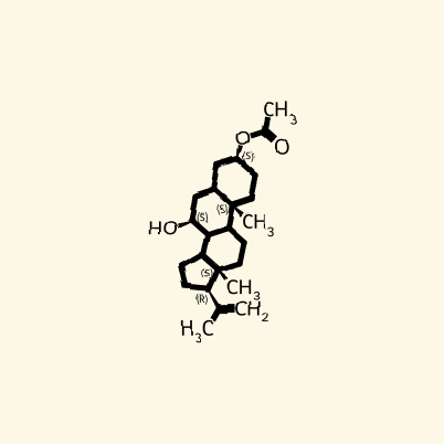 C=C(C)[C@H]1CCC2C3C(CC[C@@]21C)[C@@]1(C)CC[C@H](OC(C)=O)CC1C[C@@H]3O